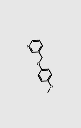 COc1ccc(OCc2cccnc2)cc1